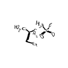 CCC=C(C)C(=O)O.NS(=O)(=O)F